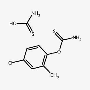 Cc1cc(Cl)ccc1OC(N)=S.NC(O)=S